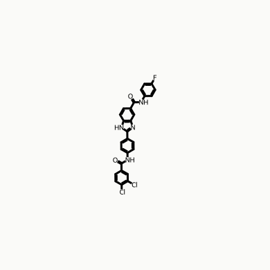 O=C(Nc1ccc(-c2nc3cc(C(=O)Nc4ccc(F)cc4)ccc3[nH]2)cc1)c1ccc(Cl)c(Cl)c1